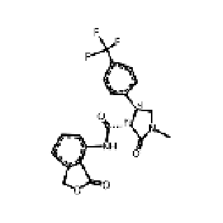 CN1C[C@H](c2ccc(C(F)(F)F)cc2)[C@@H](C(=O)Nc2cccc3c2C(=O)OC3)C1=O